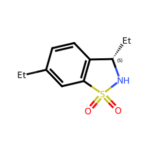 CCc1ccc2c(c1)S(=O)(=O)N[C@H]2CC